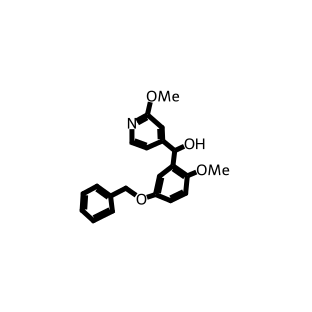 COc1cc(C(O)c2cc(OCc3ccccc3)ccc2OC)ccn1